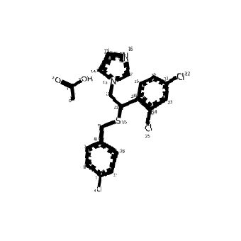 CC(=O)O.Clc1ccc(CSC(Cn2ccnc2)c2ccc(Cl)cc2Cl)cc1